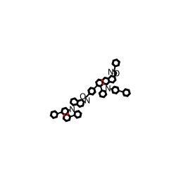 c1ccc(-c2ccc(N(c3ccccc3-c3ccccc3-c3ccc(-c4nc5ccc6c(N(c7ccc(-c8ccccc8)cc7)c7ccccc7-c7ccccc7)cccc6c5o4)cc3)c3cccc4c3ccc3oc(-c5ccccc5)nc34)cc2)cc1